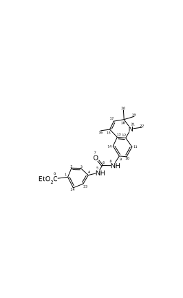 CCOC(=O)c1ccc(NC(=O)Nc2ccc3c(c2)C(C)=CC(C)(C)N3C)cc1